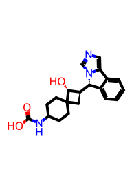 O=C(O)NC1CCC2(CC1)C[C@H]([C@H]1c3ccccc3-c3cncn31)[C@H]2O